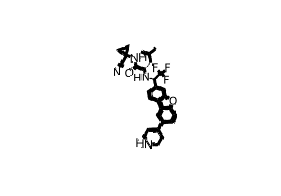 CC(C)C[C@H](N[C@@H](c1ccc2c(c1)oc1ccc(C3=CCNCC3)cc12)C(F)(F)F)C(=O)NC1(C#N)CC1